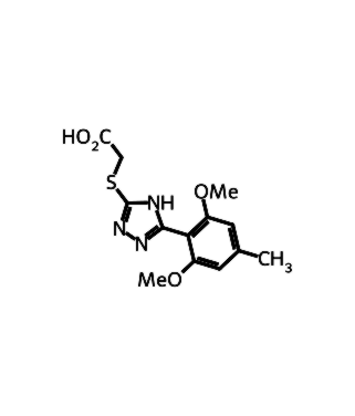 COc1cc(C)cc(OC)c1-c1nnc(SCC(=O)O)[nH]1